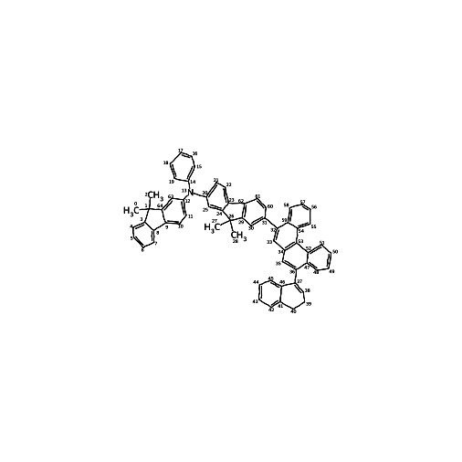 CC1(C)c2ccccc2-c2ccc(N(c3ccccc3)c3ccc4c(c3)C(C)(C)c3cc(-c5cc6cc(C7=CCCc8ccccc87)c7ccccc7c6c6ccccc56)ccc3-4)cc21